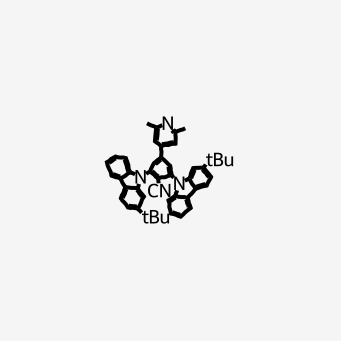 Cc1cc(-c2cc(-n3c4ccccc4c4ccc(C(C)(C)C)cc43)c(C#N)c(-n3c4ccccc4c4ccc(C(C)(C)C)cc43)c2)cc(C)n1